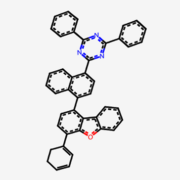 C1=CCCC(c2ccc(-c3ccc(-c4nc(-c5ccccc5)nc(-c5ccccc5)n4)c4ccccc34)c3c2oc2ccccc23)=C1